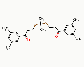 Cc1cc(C)cc(C(=O)CCSC(C)(C)SCCC(=O)c2cc(C)cc(C)c2)c1